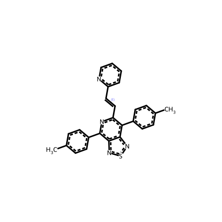 Cc1ccc(-c2nc(/C=C/c3ccccn3)c(-c3ccc(C)cc3)c3nsnc23)cc1